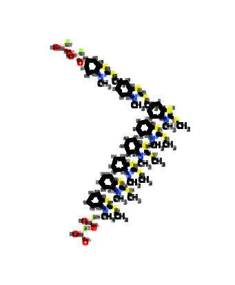 CSc1sc2ccccc2[n+]1C.CSc1sc2ccccc2[n+]1C.CSc1sc2ccccc2[n+]1C.CSc1sc2ccccc2[n+]1C.CSc1sc2ccccc2[n+]1C.CSc1sc2ccccc2[n+]1C.CSc1sc2ccccc2[n+]1C.CSc1sc2ccccc2[n+]1C.[O-]B([O-])F.[O-]B([O-])F.[O-]B([O-])F.[O-]B([O-])F